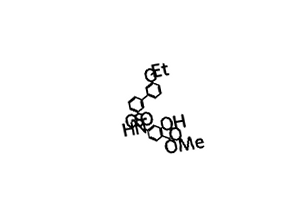 CCOc1cccc(-c2cccc(S(=O)(=O)Nc3ccc(C(=O)OC)c(O)c3)c2)c1